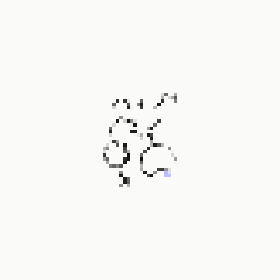 NC(Cc1ccc(O)cc1)C(=O)O.OCCOC1CC/C=C/CCC1